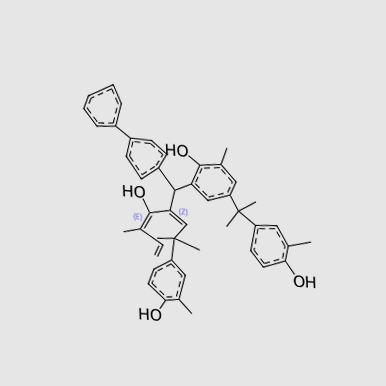 C=C/C(C)=C(O)\C(=C/C(C)(C)c1ccc(O)c(C)c1)C(c1ccc(-c2ccccc2)cc1)c1cc(C(C)(C)c2ccc(O)c(C)c2)cc(C)c1O